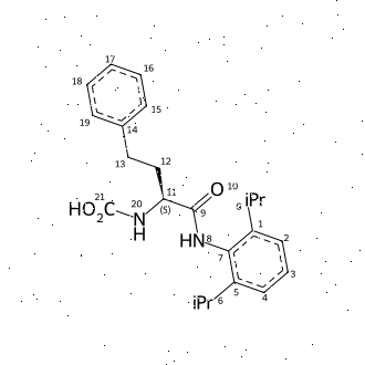 CC(C)c1cccc(C(C)C)c1NC(=O)[C@H](CCc1ccccc1)NC(=O)O